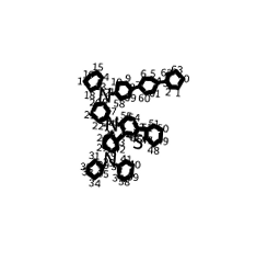 c1ccc(-c2ccc(-c3ccc(N(c4ccccc4)c4cccc(-n5c6ccc(N(c7ccccc7)c7ccccc7)cc6c6c7sc8ccccc8c7ccc65)c4)cc3)cc2)cc1